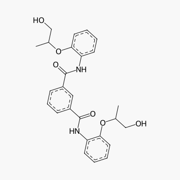 CC(CO)Oc1ccccc1NC(=O)c1cccc(C(=O)Nc2ccccc2OC(C)CO)c1